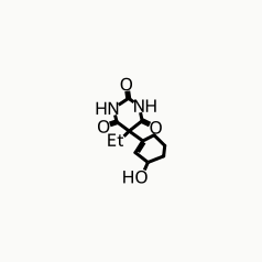 CCC1(C2=CC(O)CCC2)C(=O)NC(=O)NC1=O